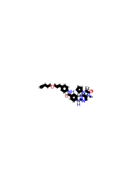 C#CCCCOC/C=C/C1CCC(NC(=O)c2ccc(Nc3ncc4c(n3)N(C3CCCC3)[C@H](CC)C(=O)N4C)c(OC)c2)CC1